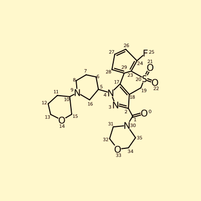 O=C(c1nn(C2CCCN(C3CCCOC3)C2)c2c1CS(=O)(=O)c1c(F)cccc1-2)N1CCOCC1